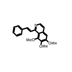 COc1cc2ccnc(C=Cc3ccccc3)c2c(OC)c1OC